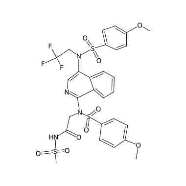 COc1ccc(S(=O)(=O)N(CC(F)(F)F)c2cnc(N(CC(=O)NS(C)(=O)=O)S(=O)(=O)c3ccc(OC)cc3)c3ccccc23)cc1